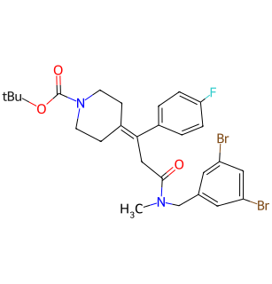 CN(Cc1cc(Br)cc(Br)c1)C(=O)CC(=C1CCN(C(=O)OC(C)(C)C)CC1)c1ccc(F)cc1